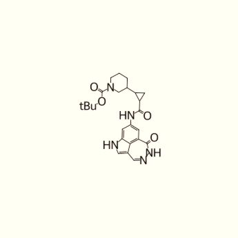 CC(C)(C)OC(=O)N1CCCC(C2CC2C(=O)Nc2cc3c4c(c[nH]c4c2)C=NNC3=O)C1